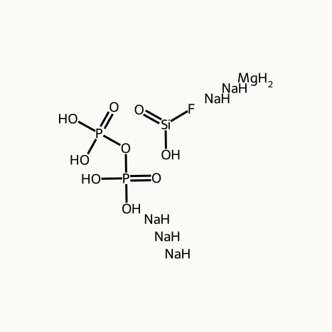 O=P(O)(O)OP(=O)(O)O.O=[Si](O)F.[MgH2].[NaH].[NaH].[NaH].[NaH].[NaH]